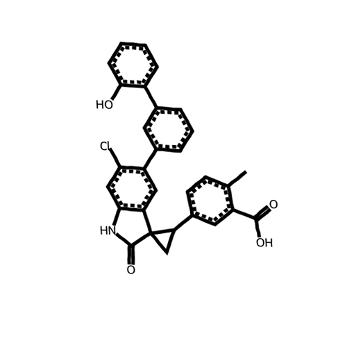 Cc1ccc(C2CC23C(=O)Nc2cc(Cl)c(-c4cccc(-c5ccccc5O)c4)cc23)cc1C(=O)O